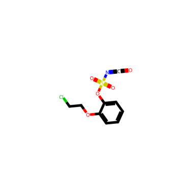 O=C=NS(=O)(=O)Oc1ccccc1OCCCl